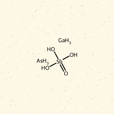 [AsH3].[GaH3].[O]=[Sb]([OH])([OH])[OH]